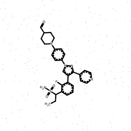 CCC(c1cccc(-c2cn(-c3ccc(N4CCC(C=O)CC4)cc3)nc2-c2ccncc2)c1F)S(N)(=O)=O